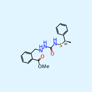 COC(=O)c1ccccc1CNNC(=O)NS[C@H](C)c1ccccc1